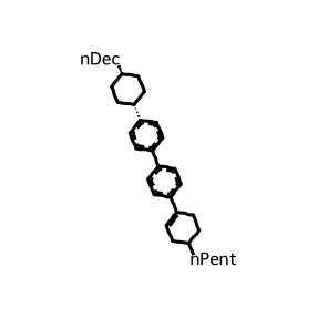 CCCCCCCCCC[C@H]1CC[C@H](c2ccc(-c3ccc(C4=CCC(CCCCC)CC4)cc3)cc2)CC1